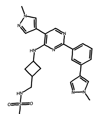 Cn1cc(-c2cccc(-c3ncc(-c4cnn(C)c4)c(NC4CC(CNS(C)(=O)=O)C4)n3)c2)cn1